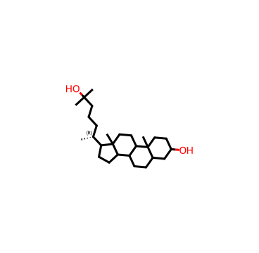 C[C@H](CCCC(C)(C)O)C1CCC2C3CCC4CC(O)CCC4(C)C3CCC21C